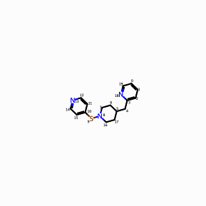 c1ccc(CC2CCN(Sc3ccncc3)CC2)nc1